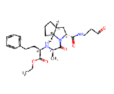 CCOC(=O)[C@@H](CCc1ccccc1)N[C@H](C)C(=O)N1[C@@H](C(=O)NCCC=O)C[C@H]2CCC[C@H]21